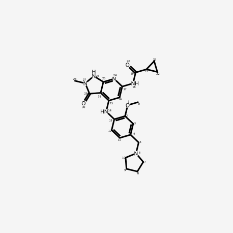 COc1cc(CN2CCCC2)ccc1Nc1cc(NC(=O)C2CC2)nc2[nH]n(C)c(=O)c12